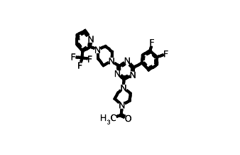 CC(=O)N1CCN(c2nc(-c3ccc(F)c(F)c3)nc(N3CCN(c4ncccc4C(F)(F)F)CC3)n2)CC1